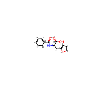 O=C(NC(Cc1ccco1)C(=O)O)c1ccccc1